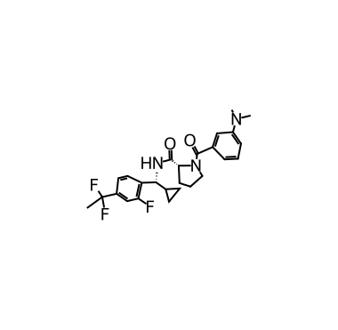 CN(C)c1cccc(C(=O)N2CCC[C@@H]2C(=O)N[C@@H](c2ccc(C(C)(F)F)cc2F)C2CC2)c1